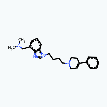 CN(C)Cc1cccc2c1ncn2CCCCN1CC=C(c2ccccc2)CC1